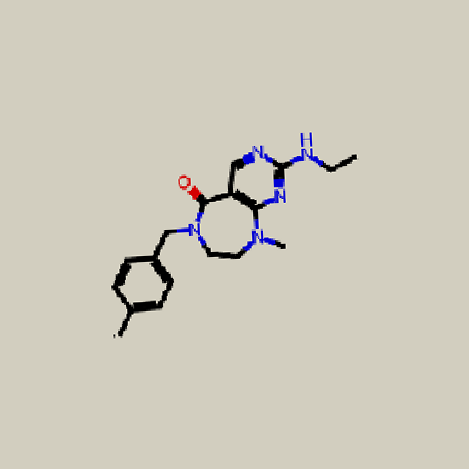 [CH2]c1ccc(CN2CCN(C)c3nc(NCC)ncc3C2=O)cc1